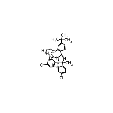 CCOc1cc(C(C)(C)C)ccc1C1=NC(C)(c2ccc(Cl)cc2)C(C)(c2ccc(Cl)cc2)N1C(C)=O